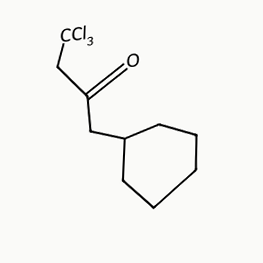 O=C(CC1CCCCC1)CC(Cl)(Cl)Cl